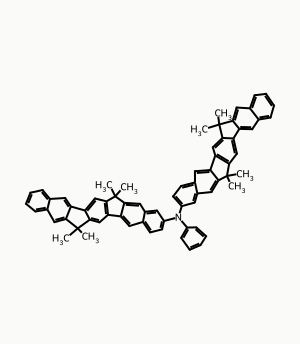 CC1(C)c2cc3c(cc2-c2cc4ccccc4cc21)C(C)(C)c1cc2cc(N(c4ccccc4)c4ccc5cc6c(cc5c4)C(C)(C)c4cc5c(cc4-6)C(C)(C)c4cc6ccccc6cc4-5)ccc2cc1-3